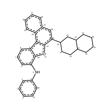 c1ccc(Nc2cccc3c2oc2c(C4CCC5CCCCC5C4)cc4ccccc4c23)cc1